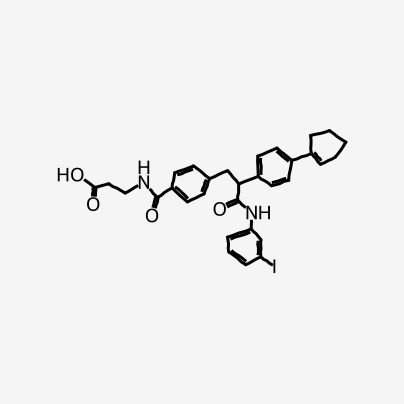 O=C(O)CCNC(=O)c1ccc(CC(C(=O)Nc2cccc(I)c2)c2ccc(C3=CCCCC3)cc2)cc1